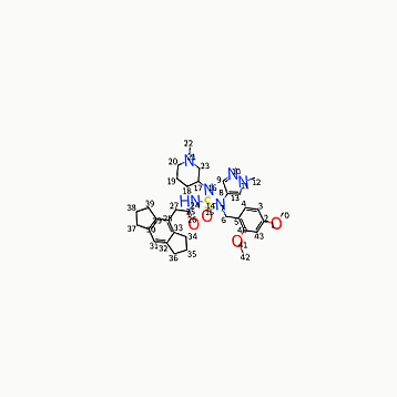 COc1ccc(CN(c2cnn(C)c2)S(=O)(=NC2CCCN(C)C2)NC(=O)Cc2c3c(cc4c2CCC4)CCC3)c(OC)c1